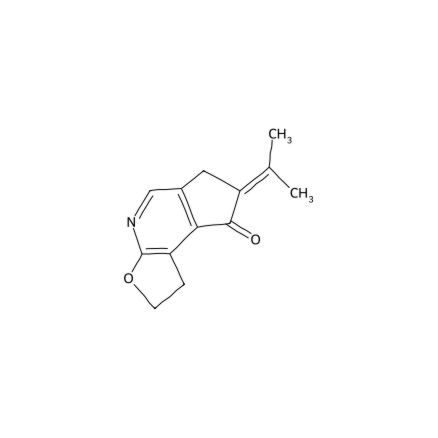 CC(C)=C1Cc2cnc3c(c2C1=O)CCO3